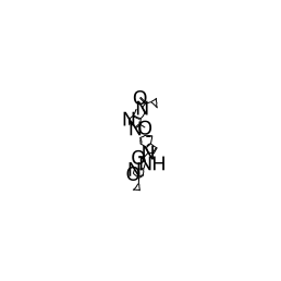 O=C(C1CC1)N1Cc2ncnc(Oc3ccc4c(ccn4C(=O)Nc4cc(C5CC5)on4)c3)c2C1